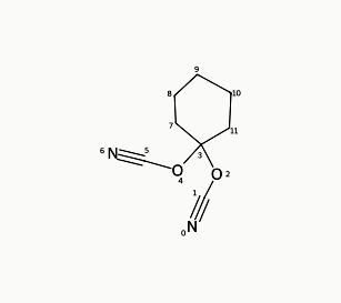 N#COC1(OC#N)CCCCC1